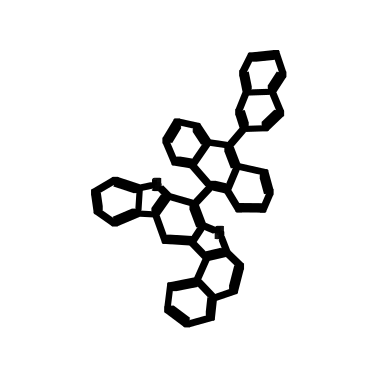 c1ccc2cc(-c3c4ccccc4c(-c4c5sc6ccccc6c5cc5c4sc4ccc6ccccc6c45)c4ccccc34)ccc2c1